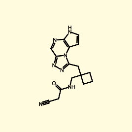 N#CCC(=O)NCC1(Cc2nnc3cnc4[nH]ccc4n23)CCC1